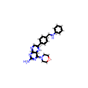 Nc1nc(N2CCOCC2)c2nc(-c3ccc(CNc4ccccc4)cc3)cnc2n1